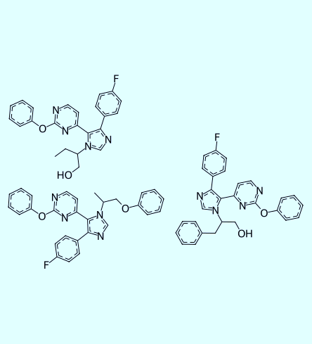 CC(COc1ccccc1)n1cnc(-c2ccc(F)cc2)c1-c1ccnc(Oc2ccccc2)n1.CCC(CO)n1cnc(-c2ccc(F)cc2)c1-c1ccnc(Oc2ccccc2)n1.OCC(Cc1ccccc1)n1cnc(-c2ccc(F)cc2)c1-c1ccnc(Oc2ccccc2)n1